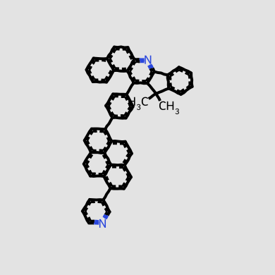 CC1(C)c2ccccc2-c2nc3ccc4ccccc4c3c(-c3ccc(-c4ccc5ccc6c(-c7cccnc7)ccc7ccc4c5c76)cc3)c21